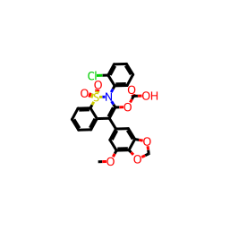 COc1cc(C2=C(OC(=O)O)N(c3ccccc3Cl)S(=O)(=O)c3ccccc32)cc2c1OCO2